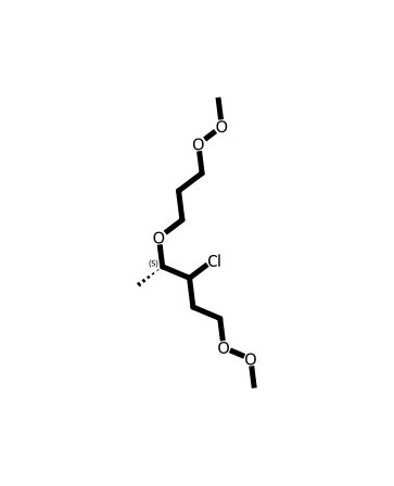 COOCCCO[C@@H](C)C(Cl)CCOOC